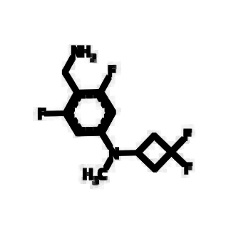 CN(c1cc(F)c(CN)c(F)c1)C1CC(F)(F)C1